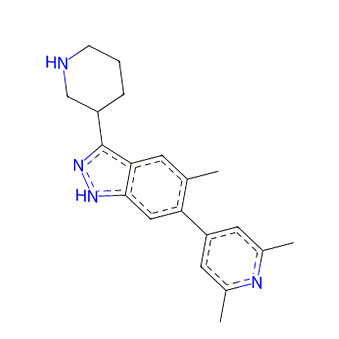 Cc1cc(-c2cc3[nH]nc(C4CCCNC4)c3cc2C)cc(C)n1